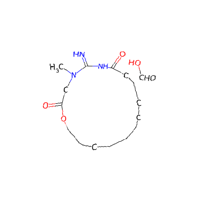 CN1CC(=O)OCCCCCCCCCCC(=O)NC1=N.O=CO